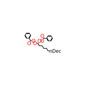 [CH2]CCCCCCCCCCCCCC[C](OOC(=O)c1ccccc1)OOC(=O)c1ccccc1